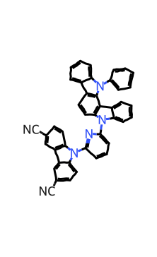 N#Cc1ccc2c(c1)c1cc(C#N)ccc1n2-c1cccc(-n2c3ccccc3c3c2ccc2c4ccccc4n(-c4ccccc4)c23)n1